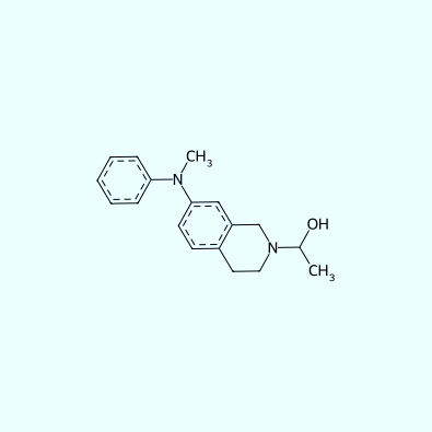 CC(O)N1CCc2ccc(N(C)c3ccccc3)cc2C1